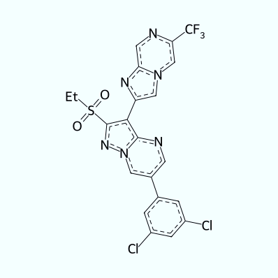 CCS(=O)(=O)c1nn2cc(-c3cc(Cl)cc(Cl)c3)cnc2c1-c1cn2cc(C(F)(F)F)ncc2n1